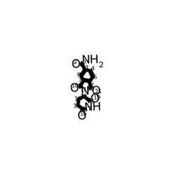 NC(=O)c1ccc2c(c1)C(=O)N(C1CCC(=O)NC1=O)C2=O